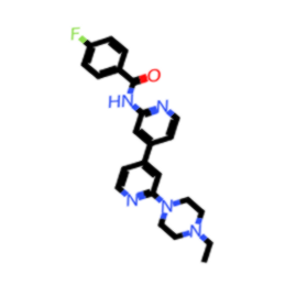 CCN1CCN(c2cc(-c3ccnc(NC(=O)c4ccc(F)cc4)c3)ccn2)CC1